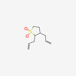 C=CCC1CCS(=O)(=O)C1CC=C